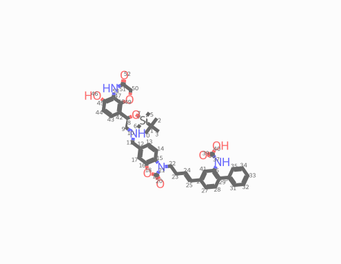 CC(C)(C)[Si](C)(C)O[C@@H](CNCc1ccc2c(c1)oc(=O)n2CC/C=C/c1ccc(-c2ccccc2)c(NC(=O)O)c1)c1ccc(O)c2c1OCC(=O)N2